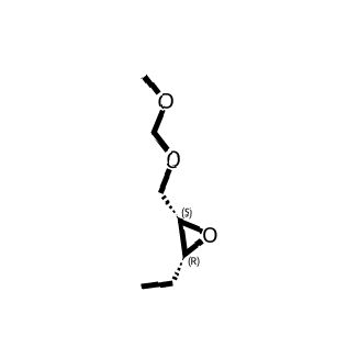 CC[C@H]1O[C@H]1COCOC